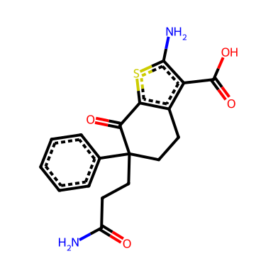 NC(=O)CCC1(c2ccccc2)CCc2c(sc(N)c2C(=O)O)C1=O